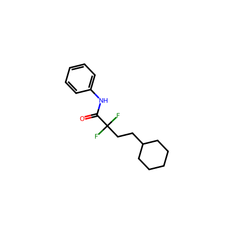 O=C(Nc1ccccc1)C(F)(F)CCC1CCCCC1